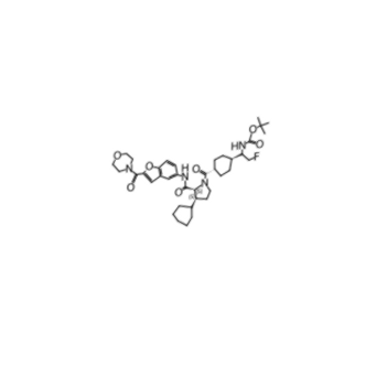 CC(C)(C)OC(=O)NC(CF)[C@H]1CC[C@H](C(=O)N2CC[C@@H](C3CCCCC3)[C@H]2C(=O)Nc2ccc3oc(C(=O)N4CCOCC4)cc3c2)CC1